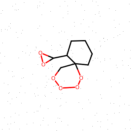 C1CCC2(COOOO2)C(C2OO2)C1